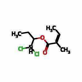 CC=C(C)C(=O)OC(CC)[SiH](Cl)Cl